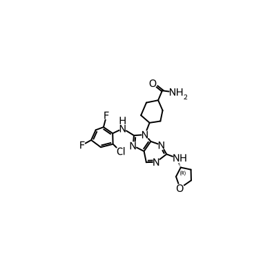 NC(=O)C1CCC(n2c(Nc3c(F)cc(F)cc3Cl)nc3cnc(N[C@@H]4CCOC4)nc32)CC1